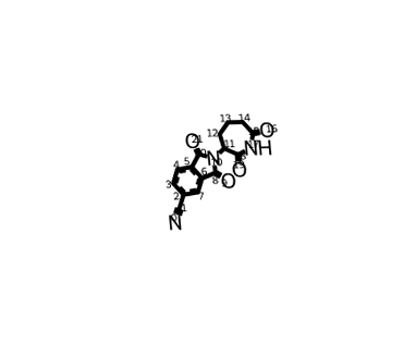 N#Cc1ccc2c(c1)C(=O)N(C1CCCC(=O)NC1=O)C2=O